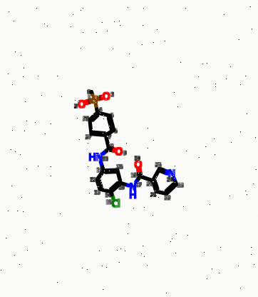 CS(=O)(=O)c1ccc(C(=O)Nc2ccc(Cl)c(NC(=O)c3cccnc3)c2)cc1